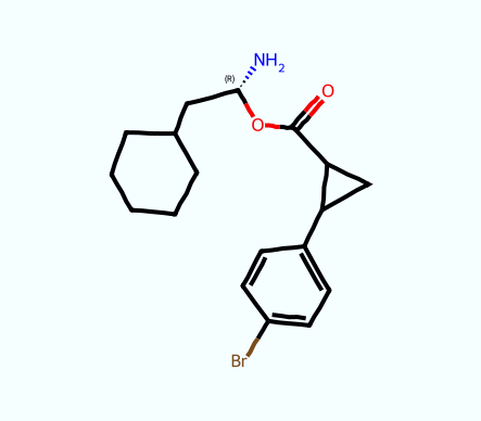 N[C@@H](CC1CCCCC1)OC(=O)C1CC1c1ccc(Br)cc1